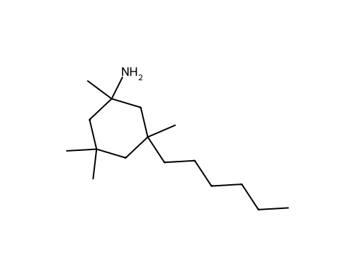 CCCCCCC1(C)CC(C)(C)CC(C)(N)C1